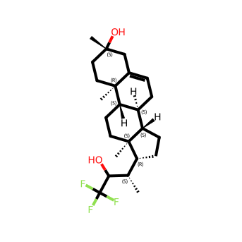 C[C@H](C(O)C(F)(F)F)[C@H]1CC[C@H]2[C@@H]3CC=C4C[C@@](C)(O)CC[C@]4(C)[C@H]3CC[C@]12C